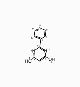 Oc1cc(O)nc(-c2ccncc2)n1